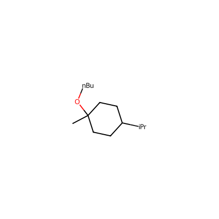 CCCCOC1(C)CCC(C(C)C)CC1